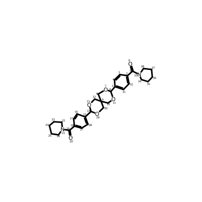 O=C(c1ccc(C2OCC3(CO2)COC(c2ccc(C(=O)N4CCCCC4)cc2)OC3)cc1)N1CCCCC1